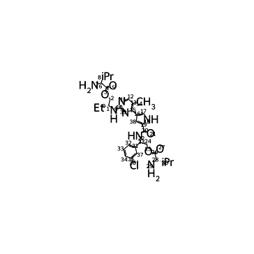 CC[C@H](COC(=O)[C@@H](N)C(C)C)Nc1ncc(C)c(-c2c[nH]c(C(=O)NC(COC(=O)[C@@H](N)C(C)C)c3cccc(Cl)c3)c2)n1